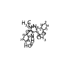 CCn1nc(-c2ccccc2)c(C(C)=O)c(Nc2ccccc2CO)c1=O